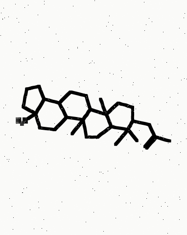 C=C(C)CC1CCC2(C)C(CCC3(C)C4CCC5(N)CCCC5C4CCC32)C1(C)C